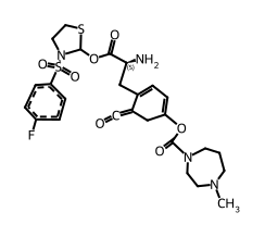 CN1CCCN(C(=O)OC2=CC=C(C[C@H](N)C(=O)OC3SCCN3S(=O)(=O)c3ccc(F)cc3)C(=C=O)C2)CC1